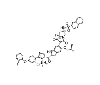 Cc1cc(Oc2ccccc2F)ccc1-n1ncc(C(=O)c2cc3cc(OCC(F)F)c(N4C(=O)[C@@H]5C[C@H](NS(=O)(=O)c6ccc7ccccc7c6)CN5C4=O)cc3[nH]2)c1N